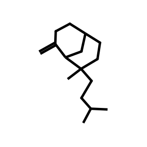 C=C1CCC2CCC(C)(CCC(C)C)C1C2